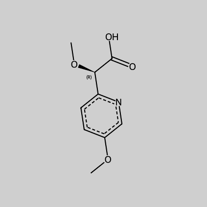 COc1ccc([C@@H](OC)C(=O)O)nc1